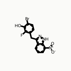 O=[N+]([O-])c1cccc2c(Cc3ccc(Br)c(O)c3F)n[nH]c12